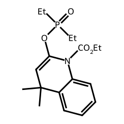 CCOC(=O)N1C(OP(=O)(CC)CC)=CC(C)(C)c2ccccc21